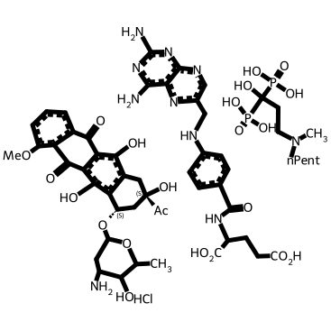 CCCCCN(C)CCC(O)(P(=O)(O)O)P(=O)(O)O.COc1cccc2c1C(=O)c1c(O)c3c(c(O)c1C2=O)C[C@@](O)(C(C)=O)C[C@@H]3OC1CC(N)C(O)C(C)O1.Cl.Nc1nc(N)c2nc(CNc3ccc(C(=O)NC(CCC(=O)O)C(=O)O)cc3)cnc2n1